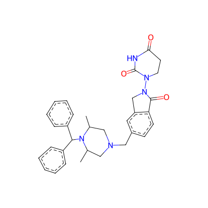 CC1CN(Cc2ccc3c(c2)CN(N2CCC(=O)NC2=O)C3=O)CC(C)N1C(c1ccccc1)c1ccccc1